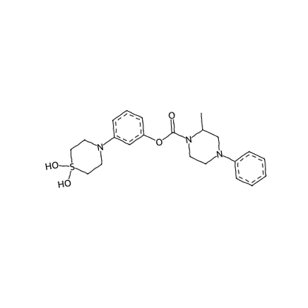 CC1CN(c2ccccc2)CCN1C(=O)Oc1cccc(N2CCS(O)(O)CC2)c1